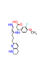 COc1ccc(C(CC(=O)O)N/C(=C\C=N)CCCc2ccc3c(n2)NCCC3)cc1F